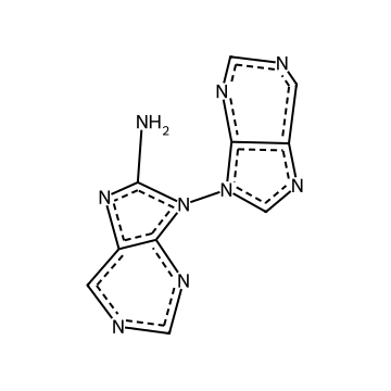 Nc1nc2cncnc2n1-n1cnc2cncnc21